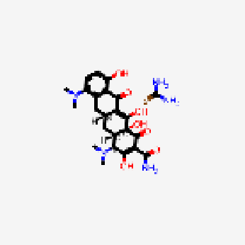 CN(C)c1ccc(O)c2c1C[C@H]1C[C@H]3[C@H](N(C)C)C(O)=C(C(N)=O)C(=O)[C@@]3(O)C(O)=C1C2=O.NC(N)=S